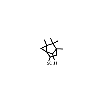 CC1C2(C)CC(S(=O)(=O)O)C13CC3(C)C2(C)C